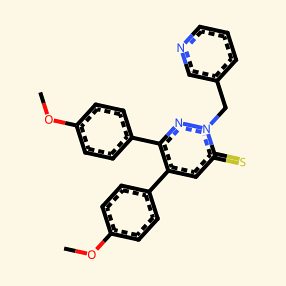 COc1ccc(-c2cc(=S)n(Cc3cccnc3)nc2-c2ccc(OC)cc2)cc1